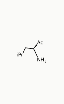 CC(=O)[C@@H](N)CC(C)C